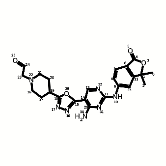 CC1(C)OC(=O)c2ccc(Nc3ncc(-c4nnc(C5CCN(CC=O)CC5)o4)c(N)n3)cc21